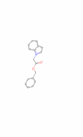 O=C(Cn1ccc2ccccc21)OCc1ccccc1